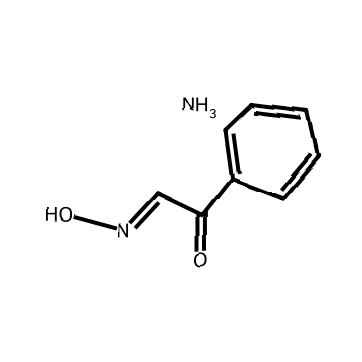 N.O=C(C=NO)c1ccccc1